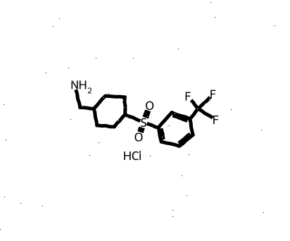 Cl.NCC1CCC(S(=O)(=O)c2cccc(C(F)(F)F)c2)CC1